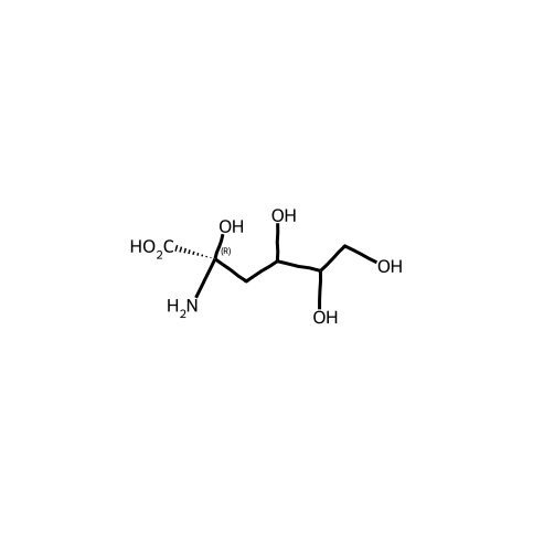 N[C@@](O)(CC(O)C(O)CO)C(=O)O